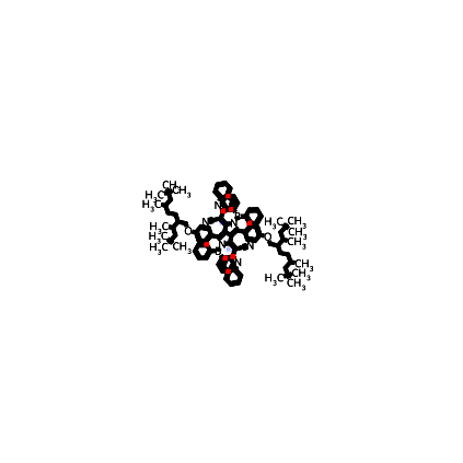 CC(CCC(COc1ccc(-c2c3/c(=C(\C#N)c4ccc5ccccc5n4)n(B(c4ccccc4)c4ccccc4)c(-c4ccc(OCC(CCC(C)CC(C)(C)C)C(C)CC(C)(C)C)cc4)c3/c(=C(\C#N)c3ccc4ccccc4n3)n2B(c2ccccc2)c2ccccc2)cc1)C(C)CC(C)(C)C)CC(C)(C)C